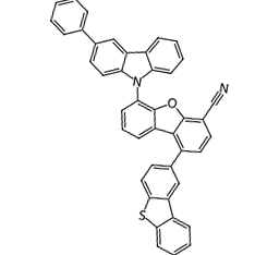 N#Cc1ccc(-c2ccc3sc4ccccc4c3c2)c2c1oc1c(-n3c4ccccc4c4cc(-c5ccccc5)ccc43)cccc12